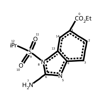 CCOC(=O)c1ccc2nc(N)n(S(=O)(=O)C(C)C)c2c1